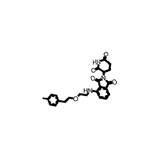 Cc1ccc(CCOCCNc2cccc3c2C(=O)N(C2CCC(=O)NC2=O)C3=O)cc1